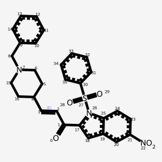 O=C(/C=C/C1CCN(Cc2ccccc2)CC1)c1cc2cc([N+](=O)[O-])ccc2n1S(=O)(=O)c1ccccc1